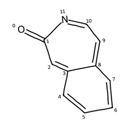 O=c1cc2ccccc2ccn1